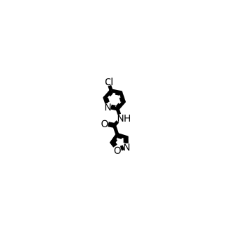 O=C(Nc1ccc(Cl)cn1)c1cnoc1